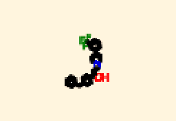 OC(CCN1CC=C(c2cccc(C(F)(F)F)c2)CC1)c1ccc(Cc2ccccc2)cc1